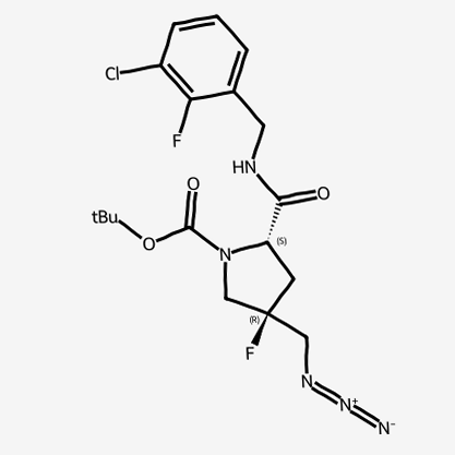 CC(C)(C)OC(=O)N1C[C@@](F)(CN=[N+]=[N-])C[C@H]1C(=O)NCc1cccc(Cl)c1F